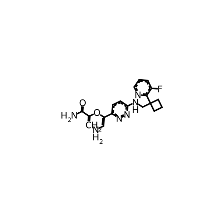 C=C(O/C(=C\N)c1ccc(NCC2(c3ncccc3F)CCC2)nn1)C(N)=O